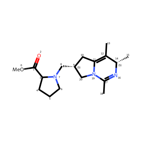 COC(=O)C1CCCN1C[C@@H]1CC2=C(C)[C@H](C)N=C(C)N2C1